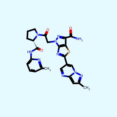 Cc1cccc(NC(=O)[C@@H]2CCCN2C(=O)Cn2nc(C(N)=O)c3sc(-c4cnc5cc(C)nn5c4)nc32)n1